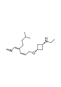 C=N/C=C(\C=C/CO[C@H]1C[C@@H](NCC)C1)CCC(C)C